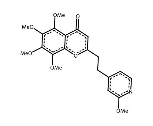 COc1cc(CCc2cc(=O)c3c(OC)c(OC)c(OC)c(OC)c3o2)ccn1